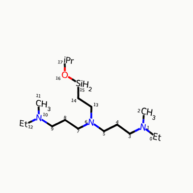 CCN(C)CCCN(CCCN(C)CC)CC[SiH2]OC(C)C